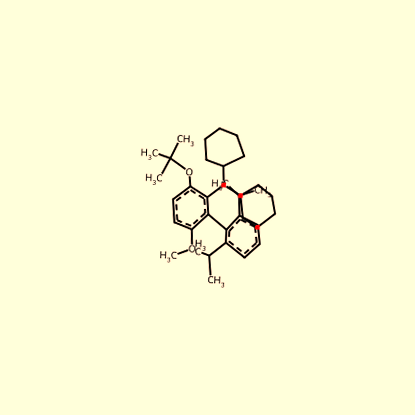 COc1ccc(OC(C)(C)C)c(P(C2CCCCC2)C2CCCCC2)c1-c1c(C(C)C)cccc1C(C)C